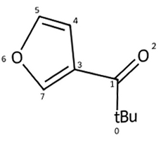 CC(C)(C)C(=O)c1ccoc1